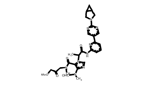 COCC(=O)CN(C)C(=O)c1c(N(C)C=O)ncn1C(C)C(=O)Nc1cccc(-c2cnc(N3CC4CC4C3)nc2)n1